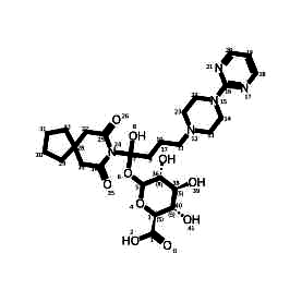 O=C(O)[C@H]1OC(OC(O)(CCCN2CCN(c3ncccn3)CC2)N2C(=O)CC3(CCCC3)CC2=O)[C@H](O)[C@@H](O)[C@@H]1O